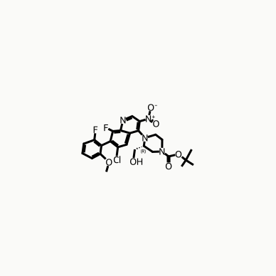 COc1cccc(F)c1-c1c(Cl)cc2c(N3CCN(C(=O)OC(C)(C)C)C[C@@H]3CO)c([N+](=O)[O-])cnc2c1F